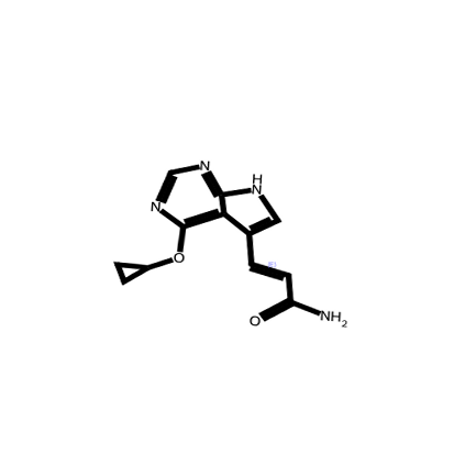 NC(=O)/C=C/c1c[nH]c2ncnc(OC3CC3)c12